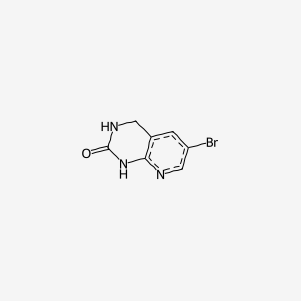 O=C1NCc2cc(Br)cnc2N1